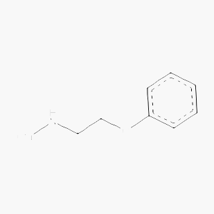 CC(C)(C)NCCOc1[c]cccc1